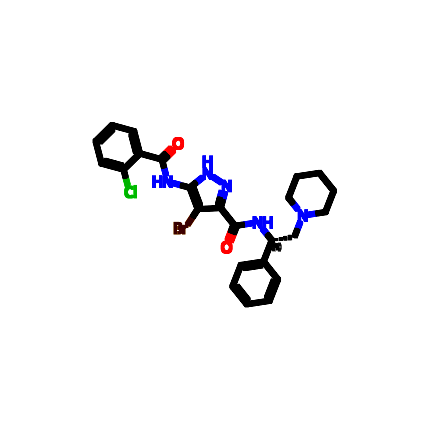 O=C(Nc1[nH]nc(C(=O)N[C@H](CN2CCCCC2)c2ccccc2)c1Br)c1ccccc1Cl